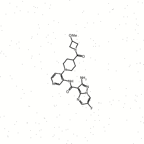 COC1CN(C(=O)C2CCN(c3ccncc3NC(=O)c3c(N)nn4cc(F)cnc34)CC2)C1